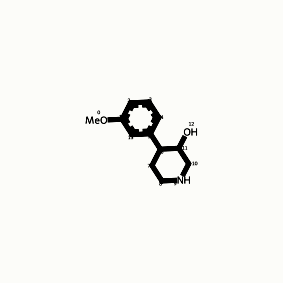 COc1cccc(C2CCNCC2O)c1